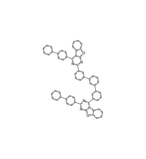 c1ccc(-c2ccc(-c3nc(-c4cccc(-c5cccc(-c6cccc(-c7nc(-c8ccc(-c9ccccc9)cc8)c8c(n7)oc7ccccc78)c6)c5)c4)c4c(n3)oc3ccccc34)cc2)cc1